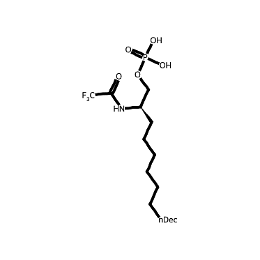 CCCCCCCCCCCCCCCC[C@H](COP(=O)(O)O)NC(=O)C(F)(F)F